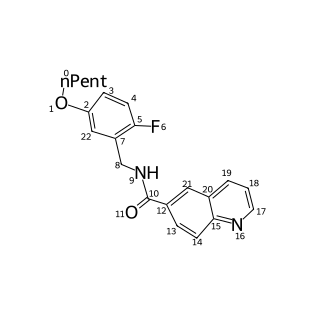 CCCCCOc1ccc(F)c(CNC(=O)c2ccc3ncccc3c2)c1